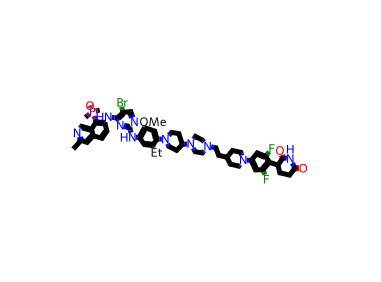 CCc1cc(Nc2ncc(Br)c(Nc3ccc4cc(C)ncc4c3P(C)(C)=O)n2)c(OC)cc1N1CCC(N2CCN(CCC3CCN(c4cc(F)c(C5CCC(=O)NC5=O)c(F)c4)CC3)CC2)CC1